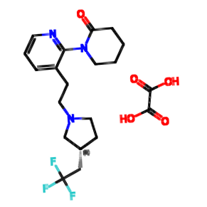 O=C(O)C(=O)O.O=C1CCCCN1c1ncccc1CCN1CC[C@H](CC(F)(F)F)C1